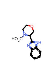 O=C(O)N1CCOCC1c1nc2ccccc2[nH]1